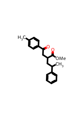 COC(=O)C(CC(=O)c1ccc(C)cc1)CC(C)c1ccccc1